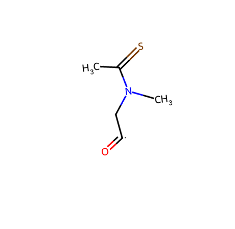 CC(=S)N(C)C[C]=O